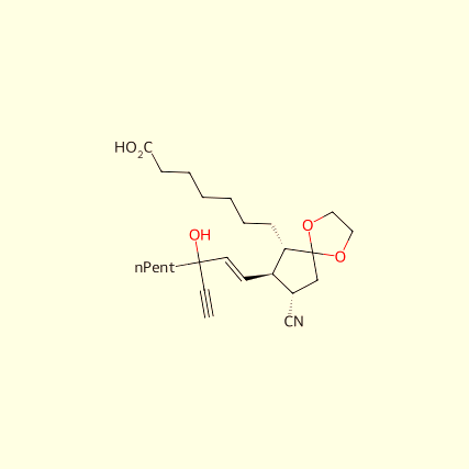 C#CC(O)(C=C[C@@H]1[C@@H](C#N)CC2(OCCO2)[C@H]1CCCCCCC(=O)O)CCCCC